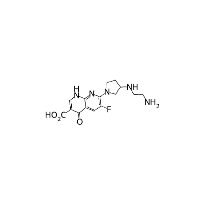 NCCNC1CCN(c2nc3[nH]cc(C(=O)O)c(=O)c3cc2F)C1